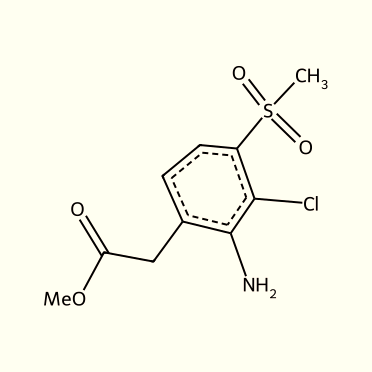 COC(=O)Cc1ccc(S(C)(=O)=O)c(Cl)c1N